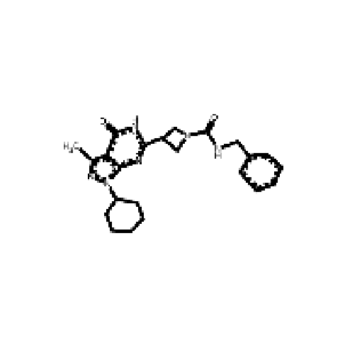 Cc1nn(C2CCCCC2)c2nc(C3CN(C(=O)NCc4ccccc4)C3)[nH]c(=O)c12